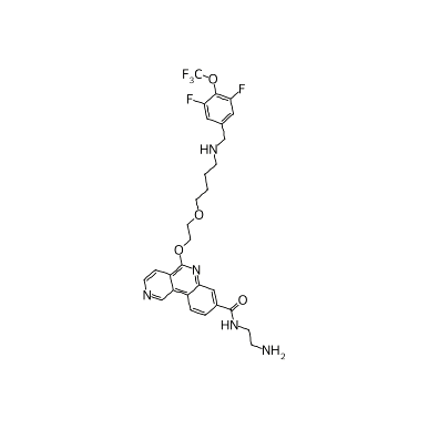 NCCNC(=O)c1ccc2c(c1)nc(OCCOCCCCNCc1cc(F)c(OC(F)(F)F)c(F)c1)c1ccncc12